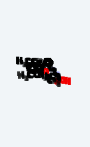 CCCOc1cc2c(cc1[C@H]1CCC[C@H]1/C=C/C(C)=C/C(=O)O)C(C)(C)CCC2(C)C